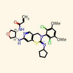 C=CC(=O)N[C@H]1COC[C@H]1Nc1cc2c(cn1)CN(c1c(Cl)c(OC)cc(OC)c1Cl)/C(=N/C1CCCC1)S2